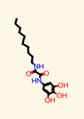 CCCCCCCCCCNC(=O)C(=O)Nc1cc(O)c(O)c(O)c1